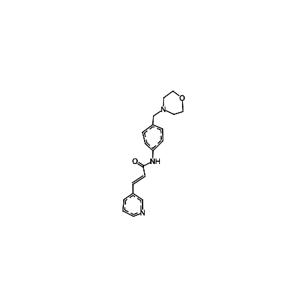 O=C(/C=C/c1cccnc1)Nc1ccc(CN2CCOCC2)cc1